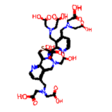 O=C(O)CN(CC(=O)O)Cc1ccnc(-c2csc(-c3nccc(CN(CC(=O)O)CC(=O)O)c3CN(CC(=O)O)CC(=O)O)n2)c1CN(CC(=O)O)CC(=O)O